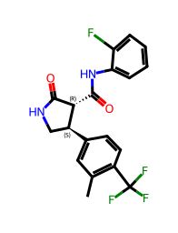 Cc1cc([C@H]2CNC(=O)[C@@H]2C(=O)Nc2ccccc2F)ccc1C(F)(F)F